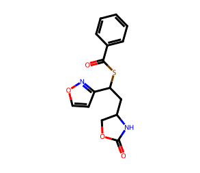 O=C1NC(CC(SC(=O)c2ccccc2)c2ccon2)CO1